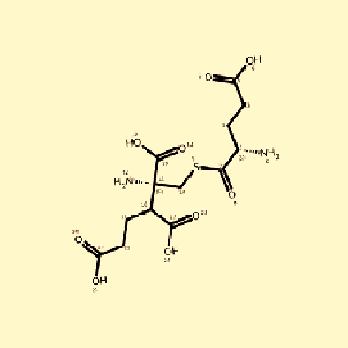 N[C@@H](CCC(=O)O)C(=O)SC[C@](N)(C(=O)O)C(CCC(=O)O)C(=O)O